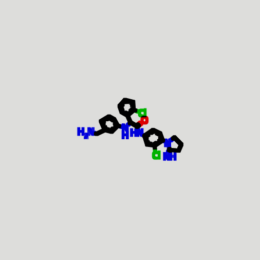 N=C1CCCN1c1ccc(NC(=O)C(Nc2cccc(CN)c2)c2ccccc2Cl)cc1Cl